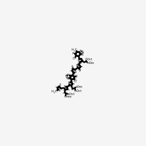 CCCCCCCCCCC(CCCCCCCC)Cc1cc(-c2c(Cl)c(F)c(C)c3nsnc23)sc1-c1cc(F)c(-c2sc(-c3c(F)c(Cl)c(-c4cc(CC(CCCCCCCC)CCCCCCCCCC)c(-c5cc(CC(CCCCCC)CCCCCCCC)c(-c6sc(C)cc6F)s5)s4)c4nsnc34)cc2F)s1